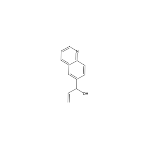 C=CC(O)c1ccc2ncccc2c1